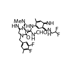 CN/C=N\C(=N)CN(Cc1cc(C)c(F)c(F)c1)C(=O)/N=C(\NC=O)NC1=C/C(=C/NCC(F)F)C(=N)C=C1C